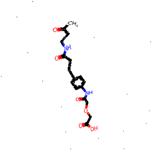 CC(=O)CCNC(=O)CCc1ccc(NC(=O)COCC(=O)O)cc1